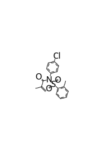 C=C(C)C(=O)N(c1ccc(Cl)cc1)S(=O)(=O)c1ccccc1C